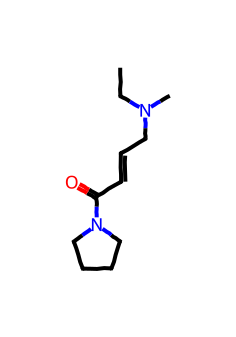 CCN(C)C/C=C/C(=O)N1CCCC1